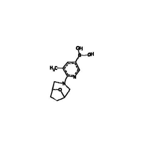 Cc1cc(B(O)O)cnc1N1CC2CCC(C1)O2